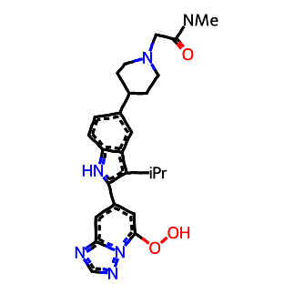 CNC(=O)CN1CCC(c2ccc3[nH]c(-c4cc(OO)n5ncnc5c4)c(C(C)C)c3c2)CC1